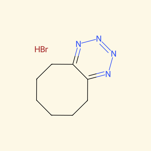 Br.C1CCCc2nnnnc2CC1